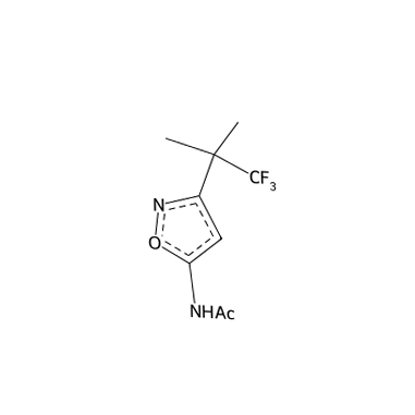 CC(=O)Nc1cc(C(C)(C)C(F)(F)F)no1